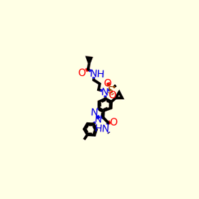 CNC(=O)c1c2cc(C3CC3)c(N(CCCNC(=O)C3CC3)S(C)(=O)=O)cc2nn1-c1ccc(C)cc1